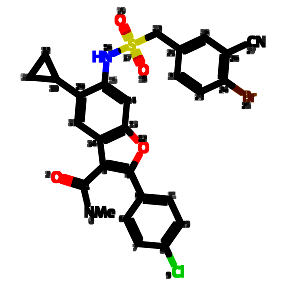 CNC(=O)c1c(-c2ccc(Cl)cc2)oc2cc(NS(=O)(=O)Cc3ccc(Br)c(C#N)c3)c(C3CC3)cc12